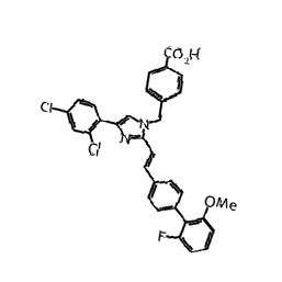 COc1cccc(F)c1-c1ccc(/C=C/c2nc(-c3ccc(Cl)cc3Cl)cn2Cc2ccc(C(=O)O)cc2)cc1